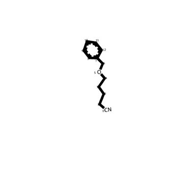 N#CCCCCOCc1ccccc1